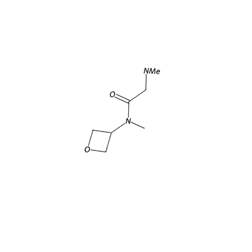 CNCC(=O)N(C)C1COC1